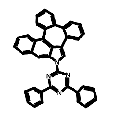 c1ccc(-c2nc(-c3ccccc3)nc(-n3cc4c5c(c6ccccc6cc53)-c3ccccc3-c3ccccc3-4)n2)cc1